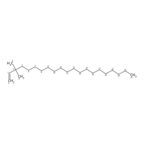 C=CC(C)(C)CCCCCCCCCCCCCCCCCC